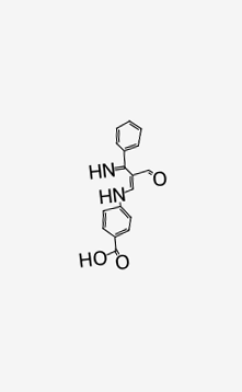 N=C(/C(C=O)=C\Nc1ccc(C(=O)O)cc1)c1ccccc1